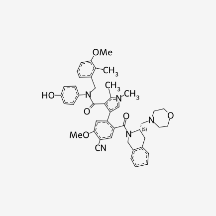 COc1cc(-c2cn(C)c(C)c2C(=O)N(Cc2cccc(OC)c2C)c2ccc(O)cc2)c(C(=O)N2Cc3ccccc3C[C@H]2CN2CCOCC2)cc1C#N